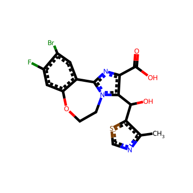 Cc1ncsc1C(O)c1c(C(=O)O)nc2n1CCOc1cc(F)c(Br)cc1-2